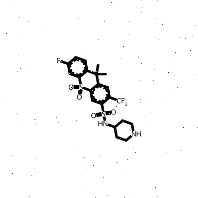 CC1(C)c2ccc(F)cc2S(=O)(=O)c2cc(S(=O)(=O)NC3CCNCC3)c(C(F)(F)F)cc21